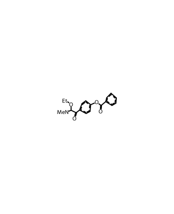 CCOC(NC)C(=O)c1ccc(OC(=O)c2ccccc2)cc1